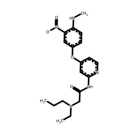 CCCN(CC)CC(=O)Nc1cc(Oc2ccc(NC)c([N+](=O)[O-])c2)ccn1